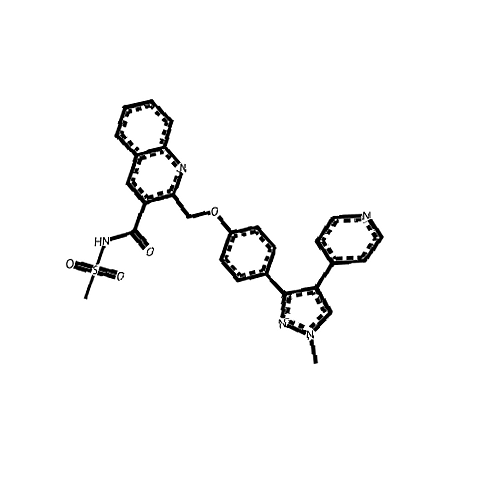 Cn1cc(-c2ccncc2)c(-c2ccc(OCc3nc4ccccc4cc3C(=O)NS(C)(=O)=O)cc2)n1